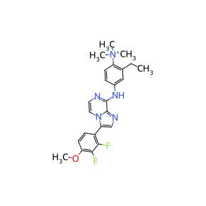 CCc1cc(Nc2nccn3c(-c4ccc(OC)c(F)c4F)cnc23)ccc1[N+](C)(C)C